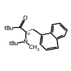 CN([C@@H](Cc1cccc2ccccc12)C(=O)C(C)(C)C)C(C)(C)C